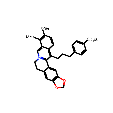 CCOC(=O)c1ccc(CCCc2c3[n+](cc4c(OC)c(OC)ccc24)CCc2cc4c(cc2-3)OCO4)cc1